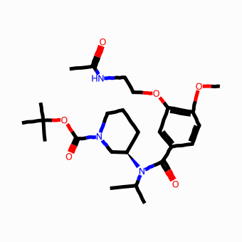 COc1ccc(C(=O)N(C(C)C)[C@@H]2CCCN(C(=O)OC(C)(C)C)C2)cc1OCCNC(C)=O